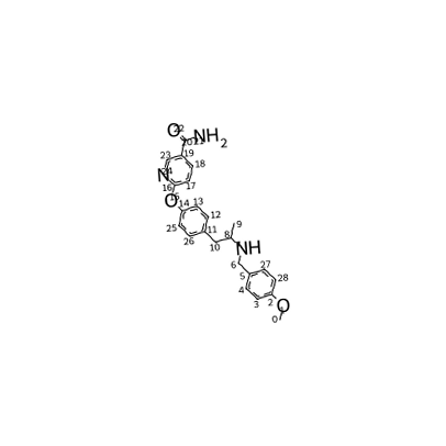 COc1ccc(CNC(C)Cc2ccc(Oc3ccc(C(N)=O)cn3)cc2)cc1